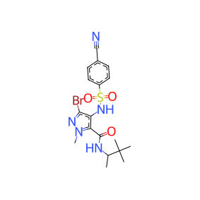 CC(NC(=O)c1c(NS(=O)(=O)c2ccc(C#N)cc2)c(Br)nn1C)C(C)(C)C